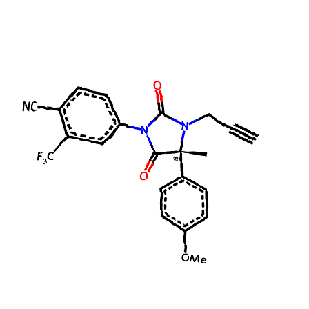 C#CCN1C(=O)N(c2ccc(C#N)c(C(F)(F)F)c2)C(=O)[C@@]1(C)c1ccc(OC)cc1